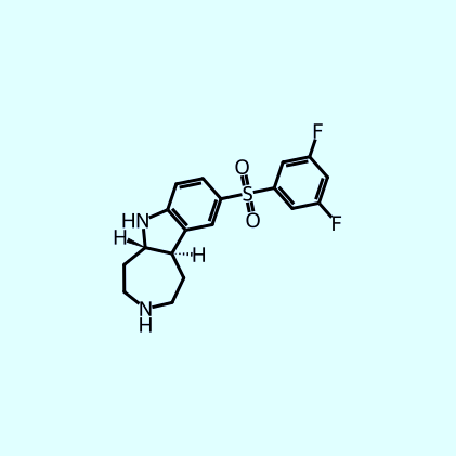 O=S(=O)(c1cc(F)cc(F)c1)c1ccc2c(c1)[C@H]1CCNCC[C@@H]1N2